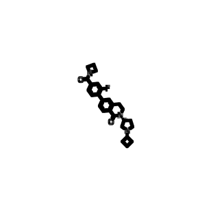 O=C(c1ccc(-c2ccc3c(c2)CCN([C@@H]2CCN(C4CCC4)C2)C3=O)c(F)c1)N1CCC1